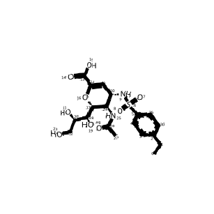 CCc1ccc(S(=O)(=O)N[C@H]2C=C(C(=O)O)O[C@@H]([C@H](O)[C@H](O)CO)[C@@H]2NC(C)=O)cc1